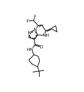 CC(C)(C)C1CCC(NC(=O)c2cnn3c2NC(=C2CC2)C=C3C(F)F)CC1